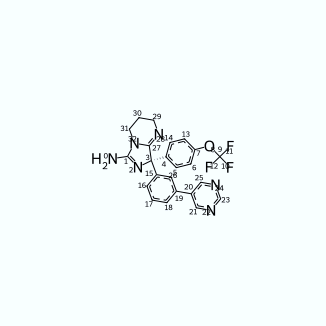 NC1=N[C@](c2ccc(OC(F)(F)F)cc2)(c2cccc(-c3cncnc3)c2)C2=NCCCN12